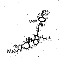 C=CCn1c(C#CCNc2ccc(S(C)(=O)=O)cc2OC)cc2c(N[C@H]3CCN(C[C@@H](O)COC)C[C@H]3F)cccc21